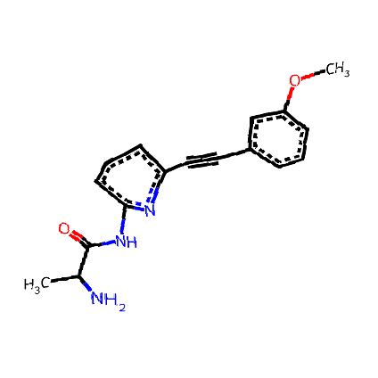 COc1cccc(C#Cc2cccc(NC(=O)C(C)N)n2)c1